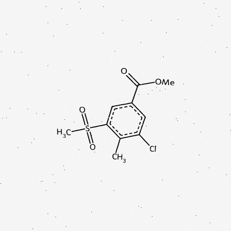 COC(=O)c1cc(Cl)c(C)c(S(C)(=O)=O)c1